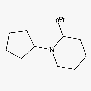 CCCC1CCCCN1C1CCCC1